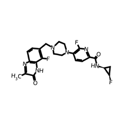 Cc1nc2ccc(CN3CCN(c4ccc(C(=O)N[C@H]5C[C@H]5F)nc4F)CC3)c(F)c2[nH]c1=O